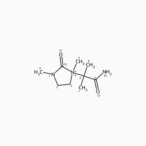 CN1CC[N+](C)(C(C)(C)C(N)=O)C1=O